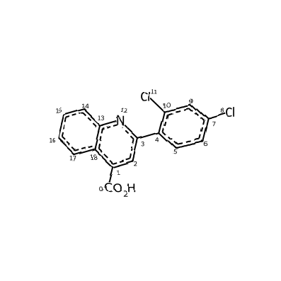 O=C(O)c1cc(-c2ccc(Cl)cc2Cl)nc2ccccc12